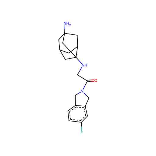 NC12CC3CC(C1)C(NCC(=O)N1Cc4ccc(F)cc4C1)(C3)C2